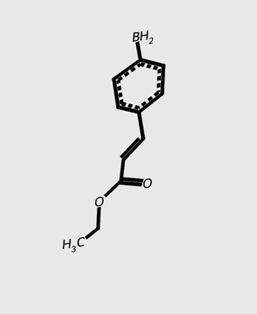 Bc1ccc(/C=C/C(=O)OCC)cc1